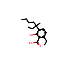 CCCCC(C)(CC)c1ccc(CC)c(C(=O)O)c1O